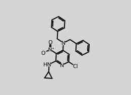 O=[N+]([O-])c1c(N(Cc2ccccc2)Cc2ccccc2)cc(Cl)nc1NC1CC1